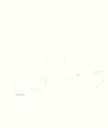 CC(=O)CCC1CCC([C@H]2[C@@H](C(=O)Nc3cccc(C(C)(C)C)c3)CCCN2C(=O)c2c(C)cccc2F)CC1